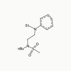 CCCCN(CCN(CC)c1ccccc1)S(C)(=O)=O